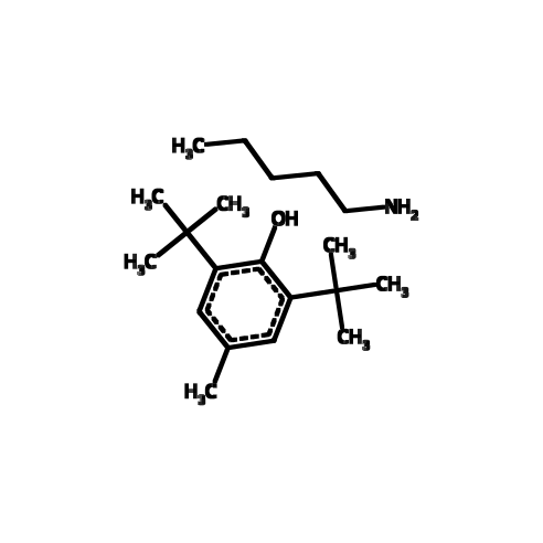 CCCCCN.Cc1cc(C(C)(C)C)c(O)c(C(C)(C)C)c1